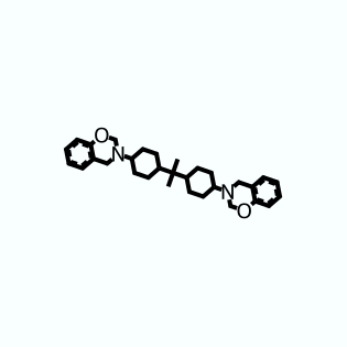 CC(C)(C1CCC(N2COc3ccccc3C2)CC1)C1CCC(N2COc3ccccc3C2)CC1